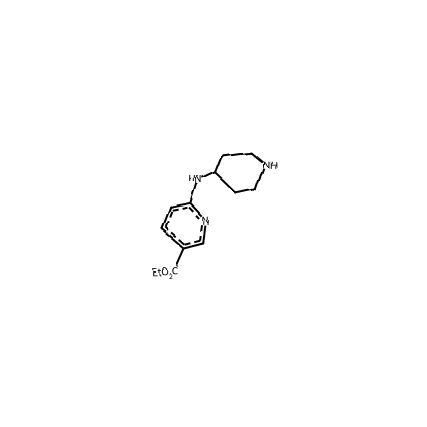 CCOC(=O)c1ccc(NC2CCNCC2)nc1